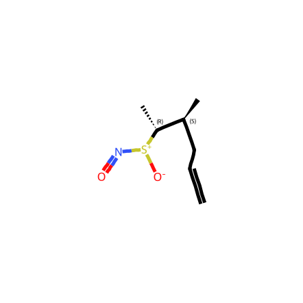 C=CC[C@H](C)[C@@H](C)[S+]([O-])N=O